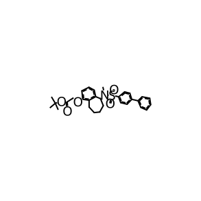 CN(C1CCCCc2c(OCC(=O)OC(C)(C)C)cccc21)S(=O)(=O)c1ccc(-c2ccccc2)cc1